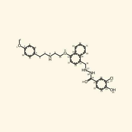 COc1ccc(CCNCCOc2ccc(CNNC(=O)c3ccc(O)c(Cl)c3)c3ccccc23)cc1